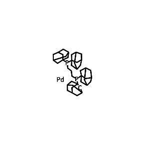 C(CP(C12CC3CC(CC(C3)C1)C2)C12CC3CC(CC(C3)C1)C2)CP(C12CC3CC(CC(C3)C1)C2)C12CC3CC(CC(C3)C1)C2.[Pd]